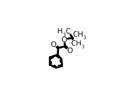 CC(C)(C)OC(=O)C(=O)c1ccccc1